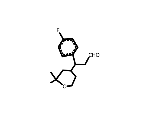 CC1(C)CC(C(CC=O)c2ccc(F)cc2)CCO1